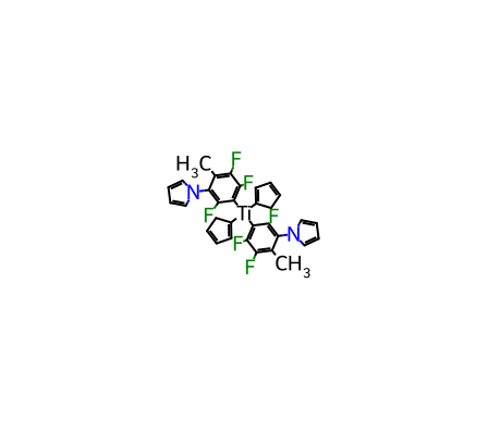 Cc1c(F)c(F)[c]([Ti]([C]2=CC=CC2)([C]2=CC=CC2)[c]2c(F)c(F)c(C)c(-n3cccc3)c2F)c(F)c1-n1cccc1